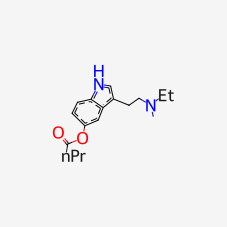 CCCC(=O)Oc1ccc2[nH]cc(CCN(C)CC)c2c1